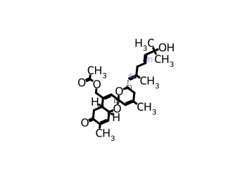 CC(=O)OCC1=C[C@]2(C=C(C)C[C@@H](/C=C(\C)C/C=C/C(C)(C)O)O2)O[C@@H]2C=C(C)C(=O)C[C@H]12